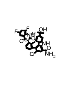 Cc1c(-c2c(Cl)cc(C(N)=O)c3[nH]c4cc(C(C)(C)O)ccc4c23)cccc1N1C(=O)c2cc(F)cc(F)c2NC1O